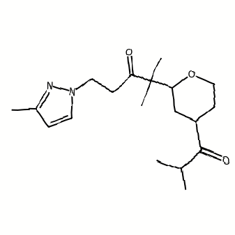 Cc1ccn(CCC(=O)C(C)(C)C2CC(C(=O)C(C)C)CCO2)n1